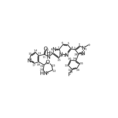 Cn1cc(-c2ccc3nc(NC(=O)c4ccncc4C4CNCCO4)cn3n2)c(-c2ccc(F)cc2)n1